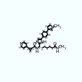 CNC(=O)CCCCC[C@H](NC(=O)C1CC1c1ccncc1)c1ncc(-c2ccc(-c3ccn(C)n3)cc2)[nH]1